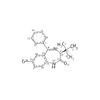 CC(C)(C)[C@@H]1N=C(c2ccccc2)c2cc(Cl)ccc2NC1=O